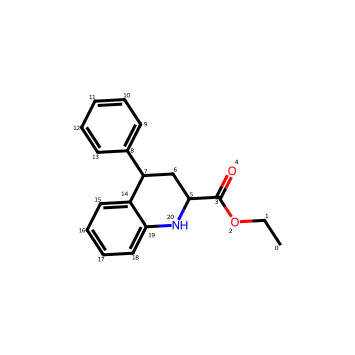 CCOC(=O)C1CC(c2ccccc2)c2ccccc2N1